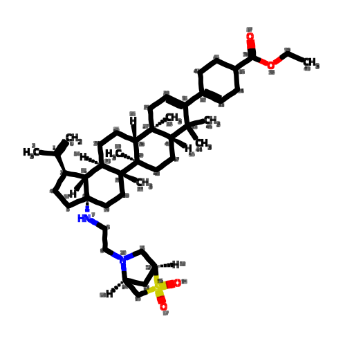 C=C(C)[C@@H]1CC[C@]2(NCCN3C[C@@H]4C[C@H]3CS4(=O)=O)CC[C@]3(C)[C@H](CC[C@@H]4[C@@]5(C)CC=C(C6=CCC(C(=O)OCC)CC6)C(C)(C)[C@@H]5CC[C@]43C)[C@@H]12